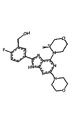 OCc1cc(-c2nc3c(N4CCOC[C@@H]4I)nc(N4CCOCC4)nc3[nH]2)ccc1F